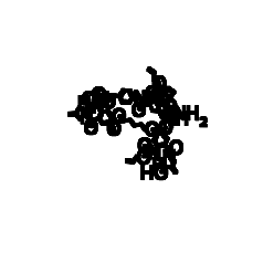 C=CCOC(=O)N1C[C@H]2C(O)C(=C)CN2C(=O)c2cc(OC)c(OCCCCCOc3cc4c(cc3OC)C(=O)N3CC(=C)C[C@H]3[C@H](O)N4C(=O)OCc3ccc(NC(=O)[C@H](CCCNC(N)=O)NC(=O)C4(C(=O)OCC=C)CCC4)cc3)cc21